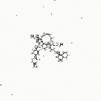 CC(=O)N1CCN(c2ccc(OCc3nn(C)c4c3-c3cccc5c(CCCOc6cccc7ccccc67)c(C(=O)O)n(c35)CCCCOC4)cc2)CC1